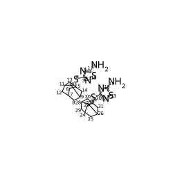 Nc1nc(SC23CC4CC(CC(C4)C2)C3)ns1.Nc1nc(SC23CC4CC(CC(C4)C2)C3)ns1